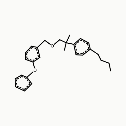 CCCCc1ccc(C(C)(C)COCc2cccc(Oc3ccccc3)c2)cc1